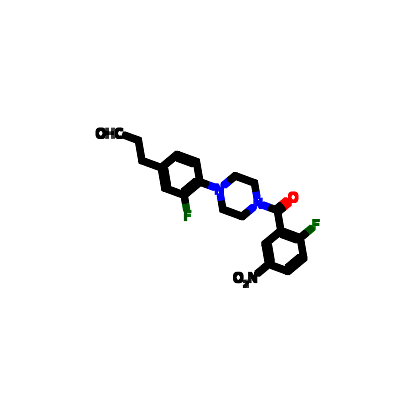 O=CCCc1ccc(N2CCN(C(=O)c3cc([N+](=O)[O-])ccc3F)CC2)c(F)c1